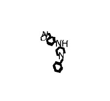 c1ccc(CN2CCC(Nc3ccc4oncc4c3)CC2)cc1